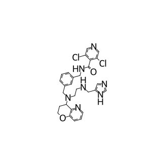 O=C(NCc1cccc(CN(CCNCc2cnc[nH]2)C2CCOc3cccnc32)c1)c1c(Cl)cncc1Cl